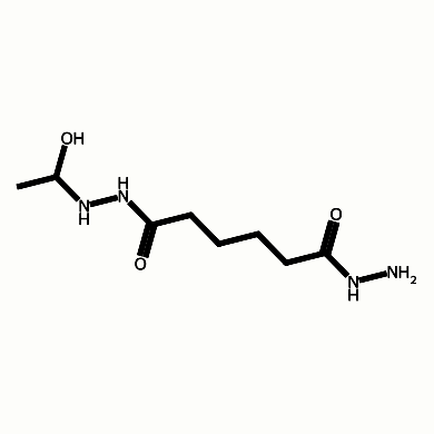 CC(O)NNC(=O)CCCCC(=O)NN